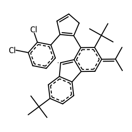 CC(C)=c1cc2c(c(C3=C(c4cccc(Cl)c4Cl)C=CC3)c1C(C)(C)C)=[C]c1cc(C(C)(C)C)ccc1-2